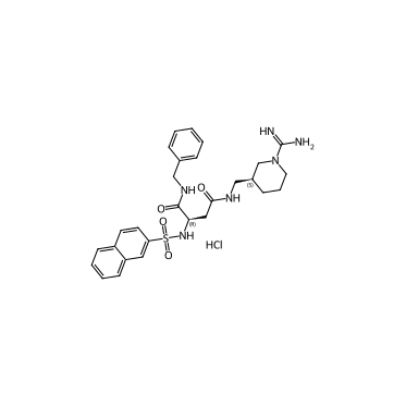 Cl.N=C(N)N1CCC[C@@H](CNC(=O)C[C@@H](NS(=O)(=O)c2ccc3ccccc3c2)C(=O)NCc2ccccc2)C1